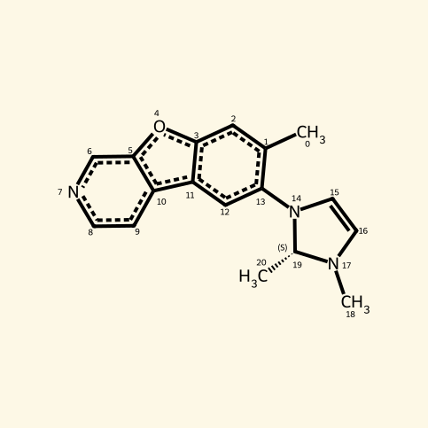 Cc1cc2oc3cnccc3c2cc1N1C=CN(C)[C@@H]1C